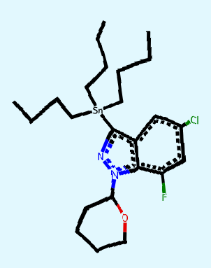 CCC[CH2][Sn]([CH2]CCC)([CH2]CCC)[c]1nn(C2CCCCO2)c2c(F)cc(Cl)cc12